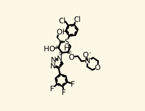 [O-][N+]1(CCO[C@H]2C[SH](c3ccc(Cl)c(Cl)c3)[C@H](CO)[C@H](O)[C@@H]2n2cc(-c3cc(F)c(F)c(F)c3)nn2)CCOCC1